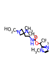 CN(C)C1(CCNC(=O)OC(c2nccn2C)C(F)(F)F)CN(C(=O)O)C1